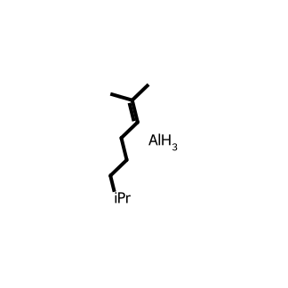 [AlH3].[CH2]C(C)CCCC=C(C)C